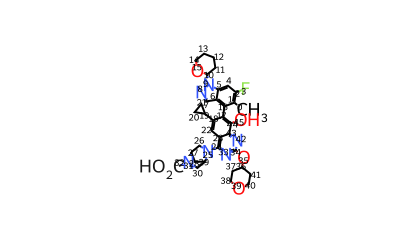 Cc1c(F)cc2c(cnn2C2CCCCO2)c1-c1c(C2CC2)cc2c(N3CC4CC3CN4C(=O)O)nc(OC3CCOCC3)nc2c1O